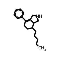 CCCCCC1CCC(c2ccccc2)=C2CNCC21